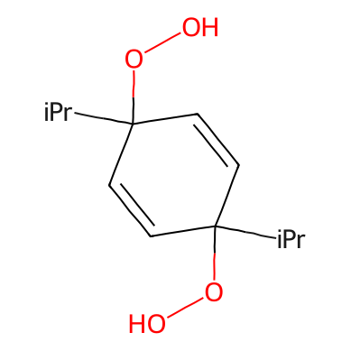 CC(C)C1(OO)C=CC(OO)(C(C)C)C=C1